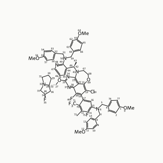 COc1ccc(CN(Cc2ccc(OC)cc2)c2cc(-c3c(Cl)c4c5c(nc(OC[C@@]67CCCN6C[C@H](F)C7)nc5c3F)N([C@H](C)c3cccnc3N(Cc3ccc(OC)cc3)Cc3ccc(OC)cc3)CCO4)c(C(F)(F)F)c(C)c2F)cc1